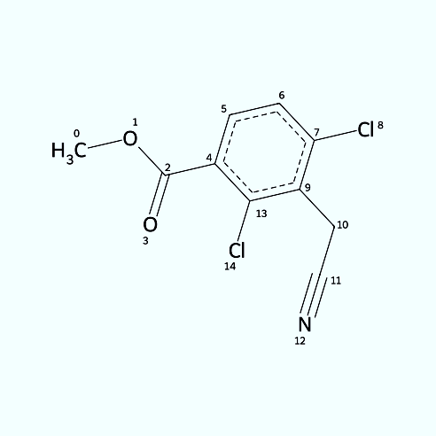 COC(=O)c1ccc(Cl)c(CC#N)c1Cl